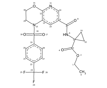 CCOC(=O)C1(NC(=O)c2cnc3c(c2)N(S(=O)(=O)c2ccc(C(F)(F)F)cc2)CCO3)CC1